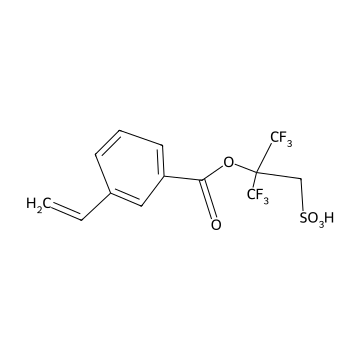 C=Cc1cccc(C(=O)OC(CS(=O)(=O)O)(C(F)(F)F)C(F)(F)F)c1